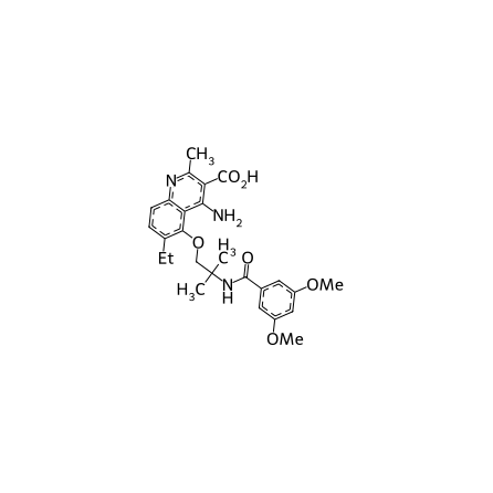 CCc1ccc2nc(C)c(C(=O)O)c(N)c2c1OCC(C)(C)NC(=O)c1cc(OC)cc(OC)c1